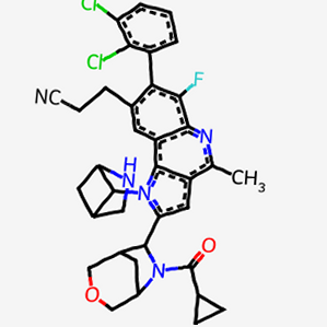 Cc1nc2c(F)c(-c3cccc(Cl)c3Cl)c(CCC#N)cc2c2c1cc(C1C3COCC(C3)N1C(=O)C1CC1)n2C1C2CNC1C2